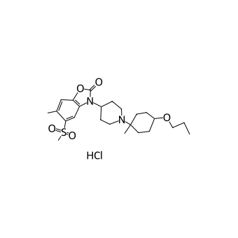 CCCOC1CCC(C)(N2CCC(n3c(=O)oc4cc(C)c(S(C)(=O)=O)cc43)CC2)CC1.Cl